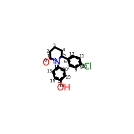 O=C1CCCC(c2ccc(Cl)cc2)N1c1ccc(O)cc1